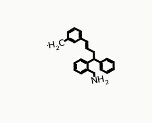 [CH2]c1cccc(C=CCC(c2ccccc2)c2ccccc2CN)c1